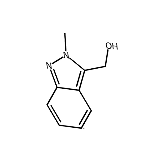 Cn1nc2cc[c]cc2c1CO